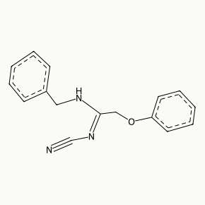 N#CN=C(COc1ccccc1)NCc1ccccc1